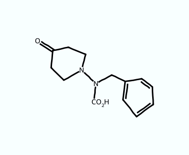 O=C1CCN(N(Cc2ccccc2)C(=O)O)CC1